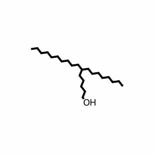 CCCCCCCCCCC(CCCCCO)CCCCCCCC